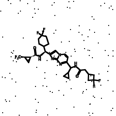 O=C(CC1CC(F)(F)C1)NC(c1ccn2cc([C@@H](NC(=O)[C@@H]3C[C@H]3C(F)(F)F)C3CCC(F)(F)CC3)nc2n1)C1CC1